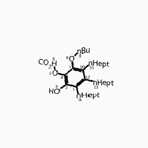 CCCCCCCc1c(O)c(OC(=O)O)c(OCCCC)c(CCCCCCC)c1CCCCCCC